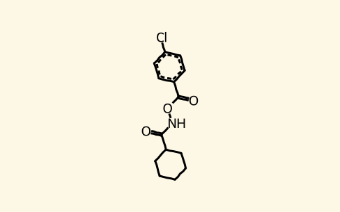 O=C(ONC(=O)C1CCCCC1)c1ccc(Cl)cc1